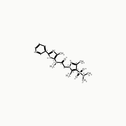 Cc1nc(-c2cccnc2)sc1N(C)C(=O)Cn1nc(C)c(S(=O)(=O)N(C)C)c1C